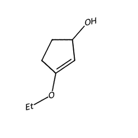 CCOC1=CC(O)CC1